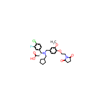 COc1cc(CN(CC2CCCC2)[C@H](CC(=O)O)c2ccc(Cl)c(F)c2)ccc1OCCN1C(=O)CCC1=O